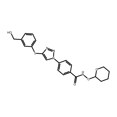 O=C(NOC1CCCCO1)c1ccc(-n2cc(Sc3cccc(CO)c3)nn2)cc1